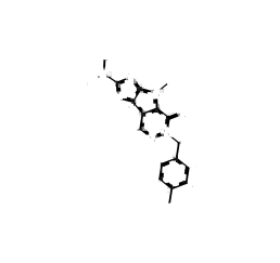 Cc1ccc(Cn2ncc3c4sc([S+](C)[O-])nc4n(C)c3c2=O)cc1